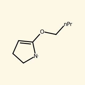 CCCCOC1=CCC[N]1